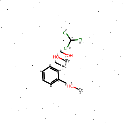 CC(C)=O.CC(C)O.CCO.CO.Cc1ccccc1.ClC(Cl)Cl